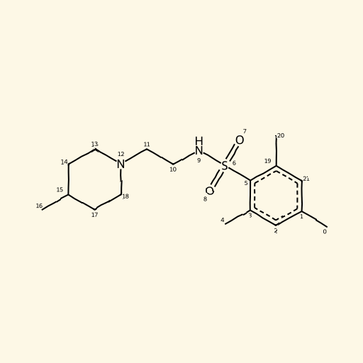 Cc1cc(C)c(S(=O)(=O)NCCN2CCC(C)CC2)c(C)c1